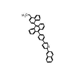 CCc1ccc(-c2c3ccccc3c(-c3ccc(-c4ccc(-c5ccc6ccccc6c5)nc4)cc3)c3ccccc23)c2ccccc12